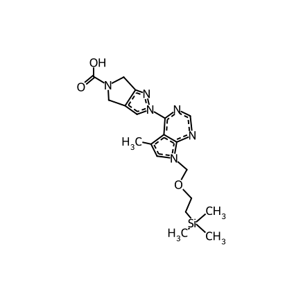 Cc1cn(COCC[Si](C)(C)C)c2ncnc(-n3cc4c(n3)CN(C(=O)O)C4)c12